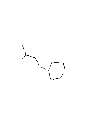 C[C](C)COC1CCOCC1